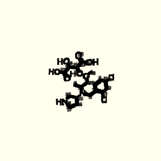 COCC(C)N(Cc1ccc(Cl)cc1Cl)[C@H]1CCNC1.O=C(O)C(O)C(O)C(=O)O